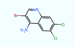 Nc1c(Br)cnc2cc(Cl)c(Cl)cc12